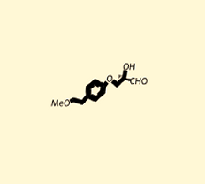 COCCc1ccc(OC[C@@H](O)C=O)cc1